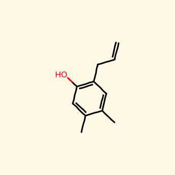 C=CCc1cc(C)c(C)cc1O